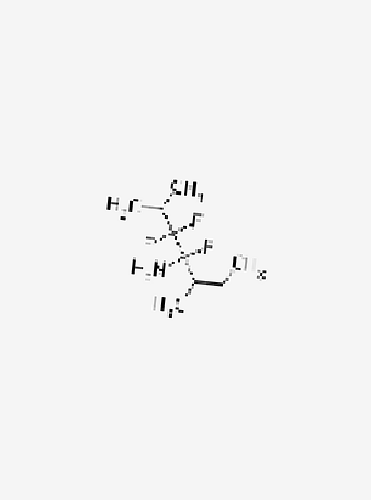 CCC(C)C(N)(F)C(F)(F)C(C)C